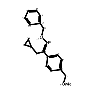 COCc1ccc(/C(CC2CC2)=N/OCc2ccccc2)cc1